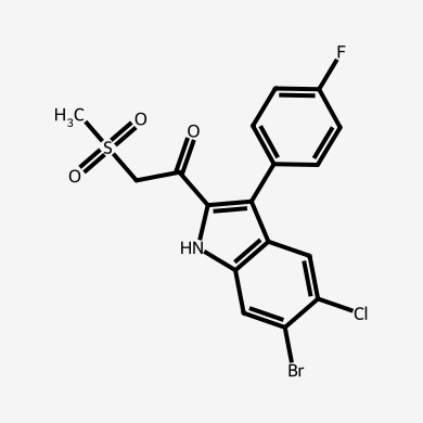 CS(=O)(=O)CC(=O)c1[nH]c2cc(Br)c(Cl)cc2c1-c1ccc(F)cc1